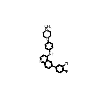 CN1CCN(c2ccc(Nc3ccnc4ccc(-c5ccc(F)c(Cl)c5)cc34)cc2)CC1